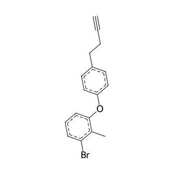 C#CCCc1ccc(Oc2cccc(Br)c2C)cc1